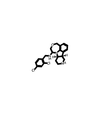 Clc1ccc(CNC2COCc3cccc4c3N2[C@H]2CCNC[C@@H]42)c(Cl)c1